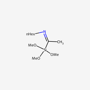 CCCCCCN=C(C)[Si](OC)(OC)OC